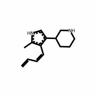 C=C/C=C\c1c(C2CCCNC2)c[nH]c1C